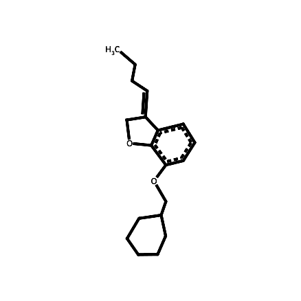 CCC/C=C1\COc2c(OCC3CCCCC3)cccc21